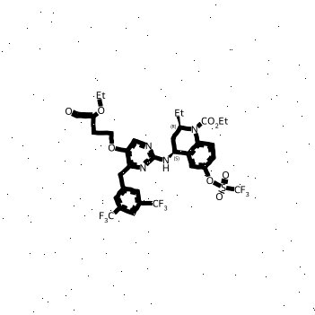 CCOC(=O)N1c2ccc(OS(=O)(=O)C(F)(F)F)cc2[C@@H](Nc2ncc(OCCC(=C=O)OCC)c(Cc3cc(C(F)(F)F)cc(C(F)(F)F)c3)n2)C[C@H]1CC